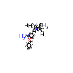 CCC[N+](CCC)(CCc1ccc(OCc2ccccc2)c(N)c1)C(C)CC